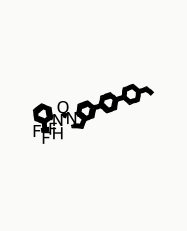 CCC1CCC(c2ccc(-c3ccc4c(c3)CCN4C(=O)Nc3ccccc3C(F)(F)F)cc2)CC1